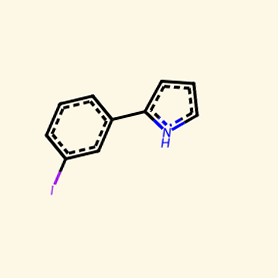 Ic1cccc(-c2ccc[nH]2)c1